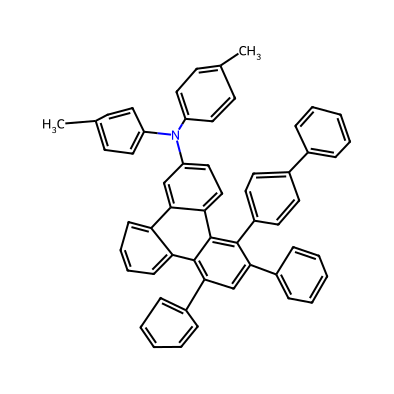 Cc1ccc(N(c2ccc(C)cc2)c2ccc3c(c2)c2ccccc2c2c(-c4ccccc4)cc(-c4ccccc4)c(-c4ccc(-c5ccccc5)cc4)c32)cc1